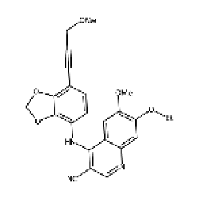 CCOc1cc2ncc(C#N)c(Nc3ccc(C#CCOC)c4c3OCO4)c2cc1OC